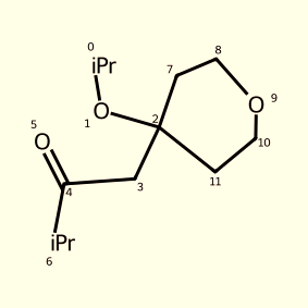 CC(C)OC1(CC(=O)C(C)C)CCOCC1